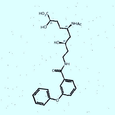 CC(=O)N[C@H](CC[C@@H](O)C(=O)O)C[C@H](O)CCNC(=O)c1cccc(Oc2ccccc2)c1